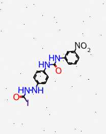 O=C(I)NNc1ccc(NC(=O)Nc2cccc([N+](=O)[O-])c2)cc1